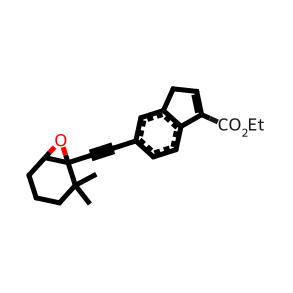 CCOC(=O)C1=CCc2cc(C#CC34OC3CCCC4(C)C)ccc21